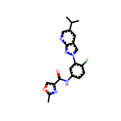 Cc1nc(C(=O)Nc2ccc(F)c(-n3cc4cc(C(C)C)cnc4n3)c2)co1